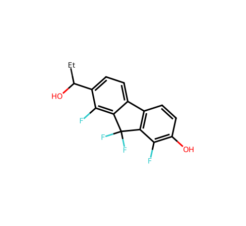 CCC(O)c1ccc2c(c1F)C(F)(F)c1c-2ccc(O)c1F